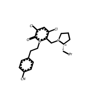 CC(C)C[C@H]1CCCN1Cc1c(Cl)cc(Cl)c(=O)n1CCc1ccc(C#N)cc1